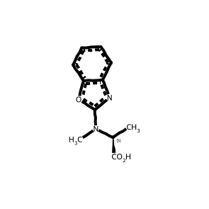 C[C@@H](C(=O)O)N(C)c1nc2ccccc2o1